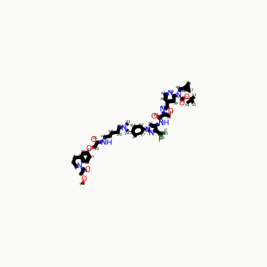 COCC(=O)N1CCCc2cc(OCC(=O)NCCCCCN(C)C[C@H]3CC[C@H](n4cc(NC(=O)c5coc(-c6ccnc(N(CC7CC7)C(=O)OC(C)(C)C)c6)n5)c(C(F)F)n4)CC3)ccc21